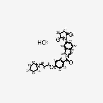 Cl.O=C(c1ccc(OCCCN2CCCCC2)cc1)N1Cc2ccc(N3C(=O)CCC3=O)cc2C1